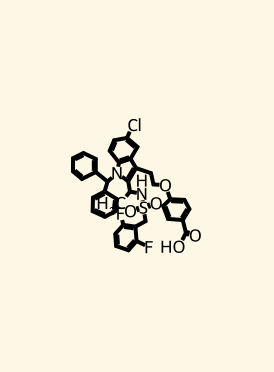 CC(NS(=O)(=O)Cc1c(F)cccc1F)c1c(CCOc2ccc(C(=O)O)cc2)c2cc(Cl)ccc2n1C(c1ccccc1)c1ccccc1